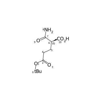 CC(C)(C)OC(=O)CC[C@@H](C(N)=O)C(=O)O